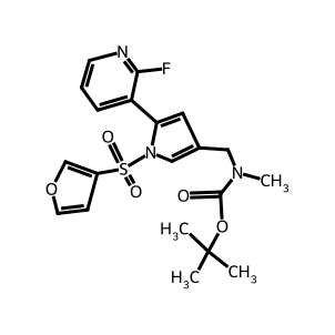 CN(Cc1cc(-c2cccnc2F)n(S(=O)(=O)c2ccoc2)c1)C(=O)OC(C)(C)C